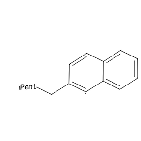 CCCC(C)Cc1[c]c2ccccc2cc1